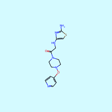 Nc1nc(NCC(=O)N2CCN(Oc3ccncc3)CC2)cs1